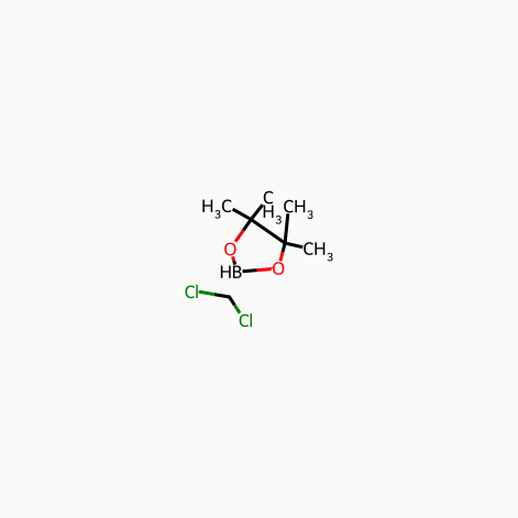 CC1(C)OBOC1(C)C.ClCCl